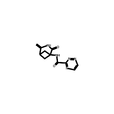 C=C1NC(=O)C2(NC(=O)c3nccnn3)CC1C2